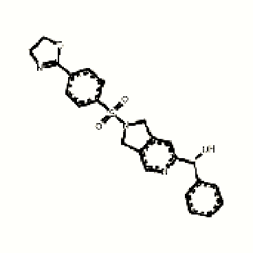 O=S(=O)(c1ccc(C2=NCCO2)cc1)N1Cc2cnc([C@@H](O)c3ccccc3)cc2C1